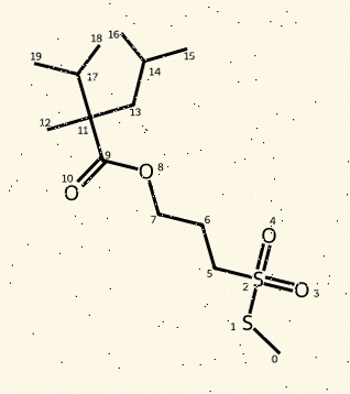 CSS(=O)(=O)CCCOC(=O)C(C)(CC(C)C)C(C)C